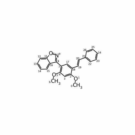 COc1cc(OC)c(-c2noc3ccccc23)cc1C=Cc1ccccc1